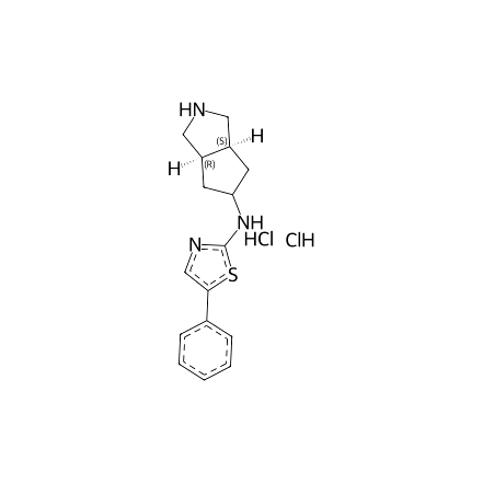 Cl.Cl.c1ccc(-c2cnc(NC3C[C@H]4CNC[C@H]4C3)s2)cc1